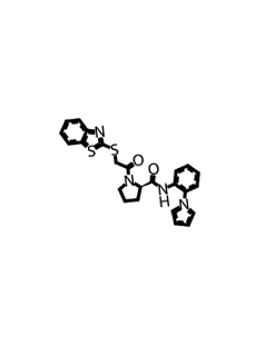 O=C(Nc1ccccc1-n1cccc1)[C@H]1CCCN1C(=O)CSc1nc2ccccc2s1